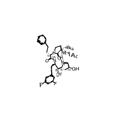 CCC(C)[C@@]1(NC(C)=O)CCN([C@@H](CCc2ccccc2)C(=O)NC(Cc2cc(F)cc(F)c2)[C@H](O)[C@H]2C[C@H](O)CN2)C1=O